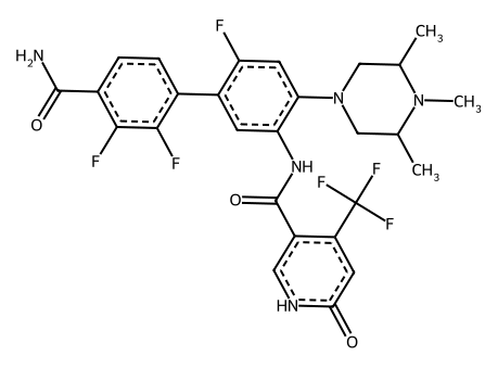 CC1CN(c2cc(F)c(-c3ccc(C(N)=O)c(F)c3F)cc2NC(=O)c2c[nH]c(=O)cc2C(F)(F)F)CC(C)N1C